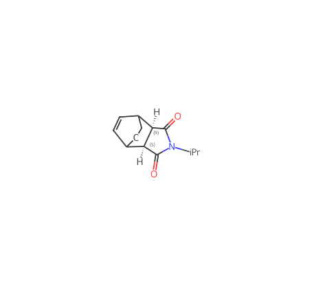 CC(C)N1C(=O)[C@@H]2C3C=CC(CC3)[C@@H]2C1=O